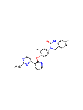 CNc1nccc(-c2cccnc2Oc2ccc(N(Cc3ccc(C)cc3)C(N)=O)cc2C)n1